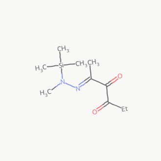 CCC(=O)C(=O)C(C)=NN(C)[Si](C)(C)C